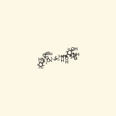 CC(C)(C)OC(=O)N[C@H](COCCCSCCNC[C@H](O)c1ccc(O)c2[nH]c(=O)sc12)c1ccccc1